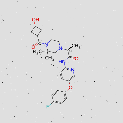 C[C@@H](C(=O)Nc1ccc(Oc2ccc(F)cc2)cn1)N1CCN(C(=O)C2CC(O)C2)C(C)(C)C1